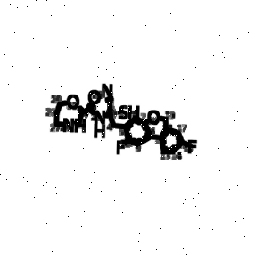 N#C[C@@](S)(Cc1cc2c(cc1F)-c1ccc(F)cc1CO2)NC(=O)[C@@H]1CNCCCO1